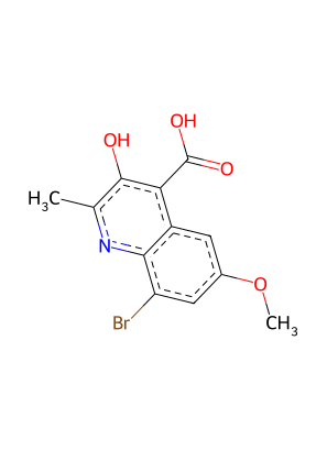 COc1cc(Br)c2nc(C)c(O)c(C(=O)O)c2c1